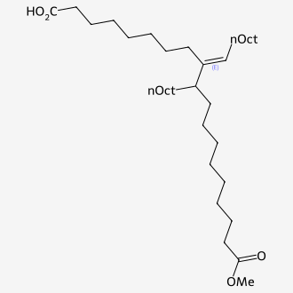 CCCCCCCC/C=C(\CCCCCCCC(=O)O)C(CCCCCCCC)CCCCCCCCC(=O)OC